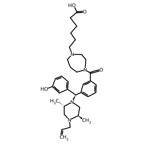 C=CCN1C[C@H](C)N([C@@H](c2cccc(O)c2)c2cccc(C(=O)N3CCCN(CCCCCC(=O)O)CC3)c2)C[C@H]1C